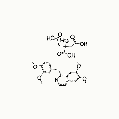 COc1ccc(Cc2nccc3cc(OC)c(OC)cc23)cc1OC.O=C(O)CC(O)(CC(=O)O)C(=O)O